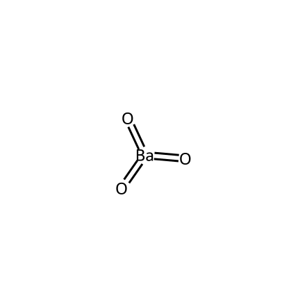 [O]=[Ba](=[O])=[O]